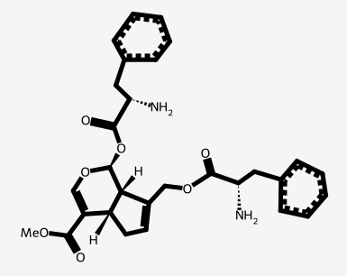 COC(=O)C1=CO[C@@H](OC(=O)[C@@H](N)Cc2ccccc2)[C@@H]2C(COC(=O)[C@@H](N)Cc3ccccc3)=CC[C@H]12